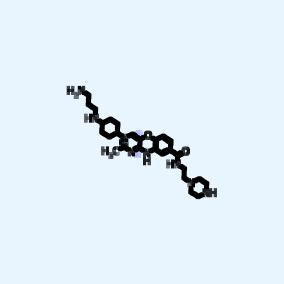 CC(=O)/N=C1/Nc2cc(C(=O)NCCN3CCNCC3)ccc2O/C1=C/NC1CCC(NCCCN)CC1